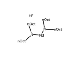 CCCCCCCC[N](CCCCCCCC)[Nd][N](CCCCCCCC)CCCCCCCC.F